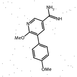 COc1ccc(-c2cc(C(=N)N)cnc2OC)cc1